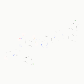 O=[N+]([O-])c1cc(S(=O)(=O)Nc2ncnc3cc(N4CCN(Cc5ccccc5-c5ccc(Cl)cc5)CC4)ccc23)ccc1N[C@H](CCN1CCOCC1)CSc1ccc(F)cc1